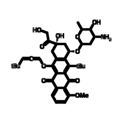 COc1cccc2c1C(=O)c1c(c(OC=C=CC(C)(C)C)c3c(c1C(C)(C)C)[C@@H](OC1CC(N)C(O)C(C)O1)C[C@](O)(C(=O)CO)C3)C2=O